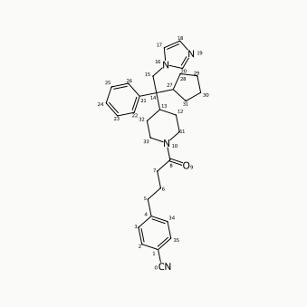 N#Cc1ccc(CCCC(=O)N2CCC(C(Cn3ccnc3)(c3ccccc3)C3CCCC3)CC2)cc1